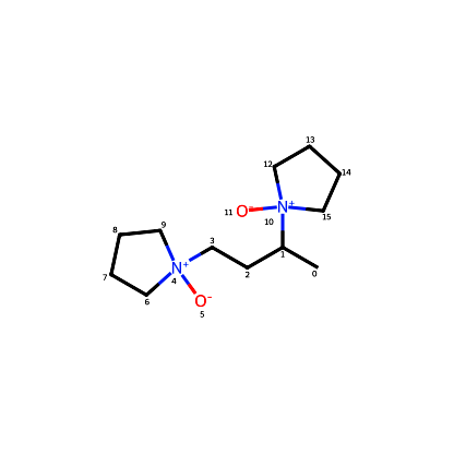 CC(CC[N+]1([O-])CCCC1)[N+]1([O-])CCCC1